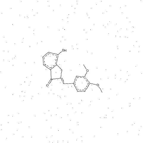 COc1ccc(/C=C2\Cc3c(O)cccc3C2=O)cc1OC